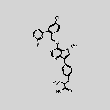 Cl.NC(Cc1ccc(-c2csc3c(OCc4ccc(Cl)cc4-c4cccc(F)c4)ncnc23)cc1)C(=O)O